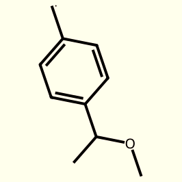 [CH2]c1ccc(C(C)OC)cc1